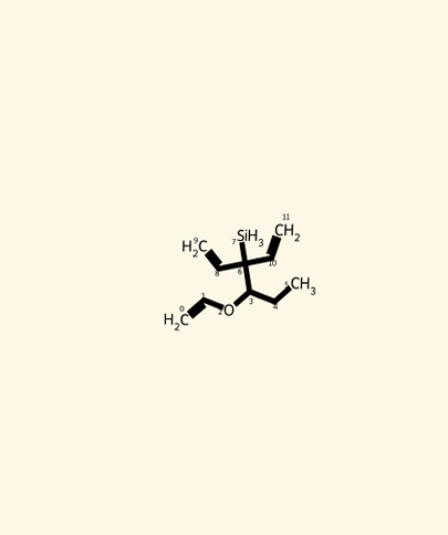 C=COC(CC)C([SiH3])(C=C)C=C